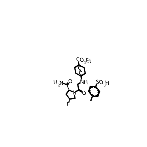 CCOC(=O)C12CCC(NCC(=O)N3C[C@@H](F)C[C@H]3C(N)=O)(CC1)CC2.Cc1ccc(S(=O)(=O)O)cc1